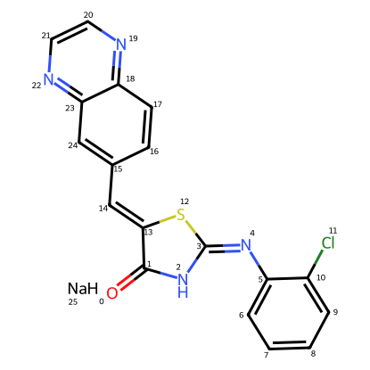 O=C1N/C(=N\c2ccccc2Cl)S/C1=C\c1ccc2nccnc2c1.[NaH]